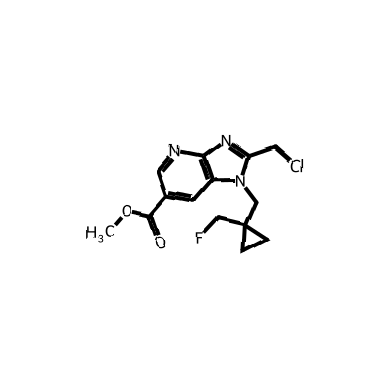 COC(=O)c1cnc2nc(CCl)n(CC3(CF)CC3)c2c1